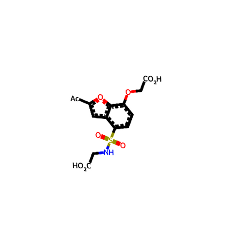 CC(=O)c1cc2c(S(=O)(=O)NCC(=O)O)ccc(OCC(=O)O)c2o1